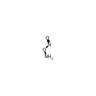 NON=O